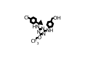 OCc1ccc(Nc2nc(NC3(c4ccc(Cl)cc4)CC3)nc(OCC(F)(F)F)n2)cc1